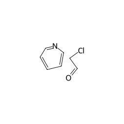 O=CCCl.c1ccncc1